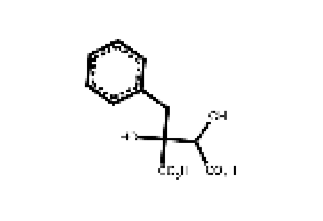 O=C(O)C(O)C(O)(Cc1ccccc1)C(=O)O